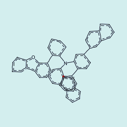 c1ccc(-c2ccc(-c3ccc4ccccc4c3)cc2N(c2ccccc2-c2cccc3c2oc2ccccc23)c2cccc3c2sc2ccccc23)cc1